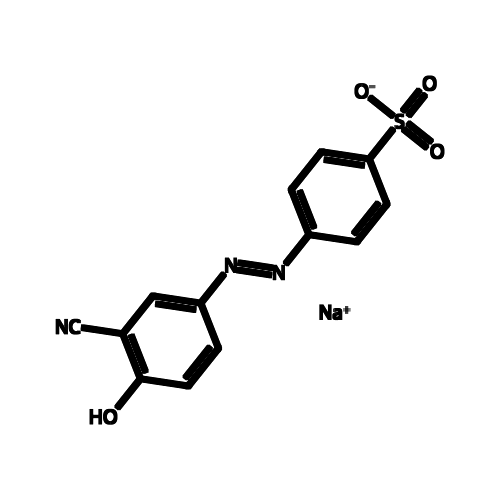 N#Cc1cc(N=Nc2ccc(S(=O)(=O)[O-])cc2)ccc1O.[Na+]